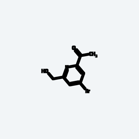 CC(=O)c1cc(Br)cc(CO)n1